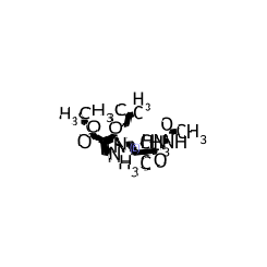 CCOC(=O)c1cnn(/C=C/C(C)(C)C(=O)NNC(C)=O)c1OCC(C)C